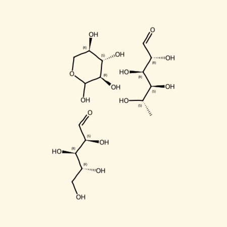 C[C@H](O)[C@H](O)[C@@H](O)[C@@H](O)C=O.O=C[C@@H](O)[C@H](O)[C@H](O)CO.OC1OC[C@@H](O)[C@H](O)[C@H]1O